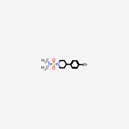 CC(C)c1ccc(C2CCN(S(=O)(=O)N(C)C)CC2)cc1